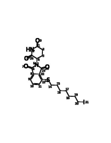 O=C1CCC(N2C(=O)c3cccc(SCCCCCCCI)c3C2=O)C(=O)N1